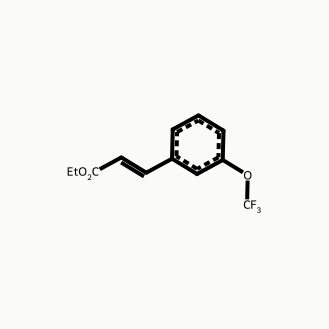 CCOC(=O)C=Cc1cccc(OC(F)(F)F)c1